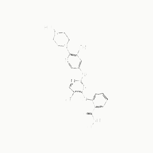 Cc1cc(Nc2ncc(Cl)c(Nc3ccccc3C(=O)NC(C)C)n2)cnc1N1CCN(C)CC1